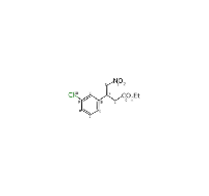 CCOC(=O)CC(C[N+](=O)[O-])c1cccc(Cl)c1